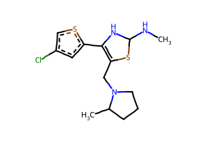 CNC1NC(c2cc(Cl)cs2)=C(CN2CCCC2C)S1